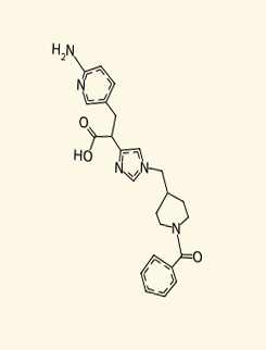 Nc1ccc(CC(C(=O)O)c2cn(CC3CCN(C(=O)c4ccccc4)CC3)cn2)cn1